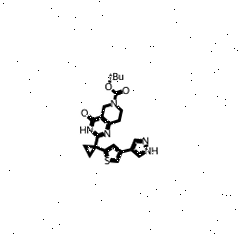 CC(C)(C)OC(=O)N1CCc2nc(C3(c4cc(-c5cn[nH]c5)cs4)CC3)[nH]c(=O)c2C1